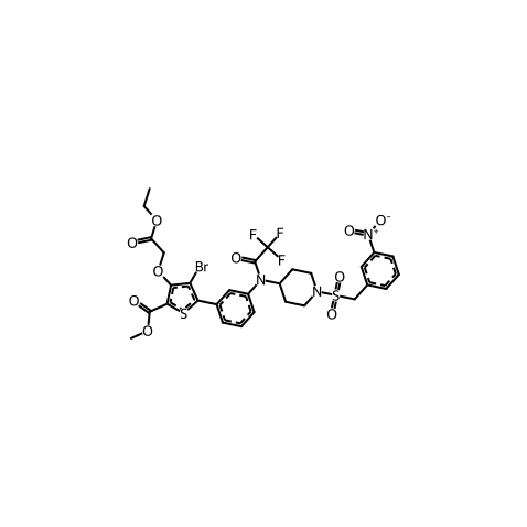 CCOC(=O)COc1c(C(=O)OC)sc(-c2cccc(N(C(=O)C(F)(F)F)C3CCN(S(=O)(=O)Cc4cccc([N+](=O)[O-])c4)CC3)c2)c1Br